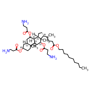 CCCCCCCCCCOC(=O)CC[C@@H](C)[C@H]1CC[C@H]2[C@@H]3[C@H](OC(=O)CCN)C[C@@H]4C[C@H](OC(=O)CCN)CC[C@]4(C)[C@H]3C[C@H](OC(=O)CCN)[C@]12C